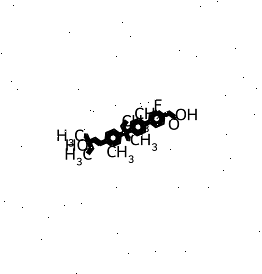 CCC(O)(C=Cc1ccc(C(CC)(CC)c2ccc(-c3ccc(CC(=O)O)c(F)c3)c(C)c2)cc1C)CC